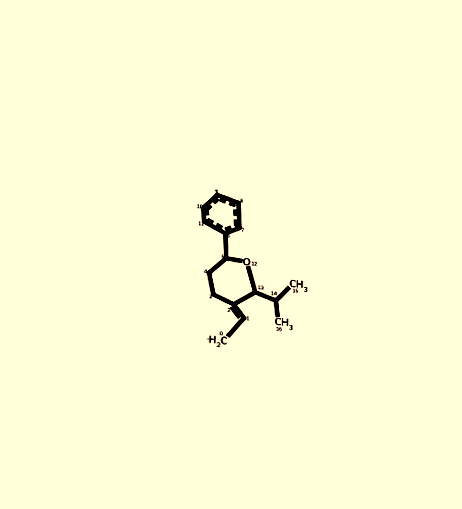 [CH2]C=C1CCC(c2ccccc2)OC1C(C)C